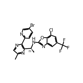 Cc1cnc(-c2ccc(Br)cn2)c([C@H](C)Nc2nc3cc(C(F)(F)F)cc(Cl)c3o2)n1